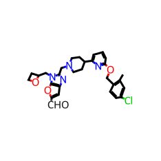 Cc1cc(Cl)ccc1COc1cccc(C2CCN(Cc3nc4cc(C=O)oc4n3CC3CCO3)CC2)n1